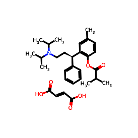 Cc1ccc(OC(=O)C(C)C)c([C@H](CCN(C(C)C)C(C)C)c2ccccc2)c1.O=C(O)C=CC(=O)O